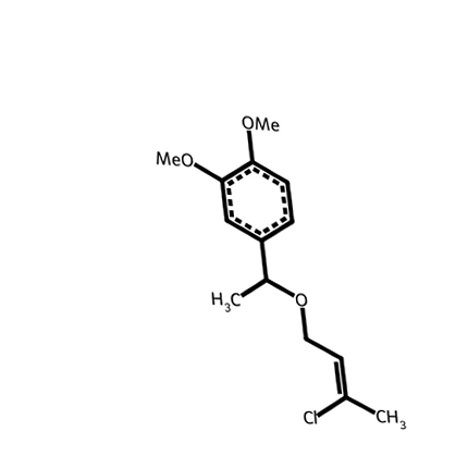 COc1ccc(C(C)OC/C=C(/C)Cl)cc1OC